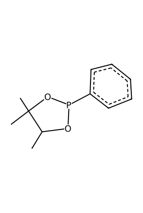 CC1OP(c2ccccc2)OC1(C)C